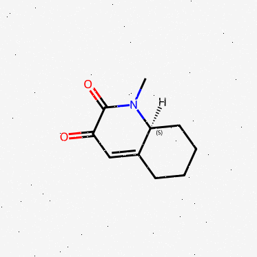 CN1C(=O)C(=O)C=C2CCCC[C@@H]21